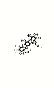 NCC[C@H]1O[C@H](O[C@@H]2[C@@H](O)[C@H](O[C@H]3O[C@H](CO)[C@@H](O)[C@H](N)[C@H]3O)[C@@H](N)C[C@H]2N)[C@H](O)[C@@H](O)[C@@H]1O